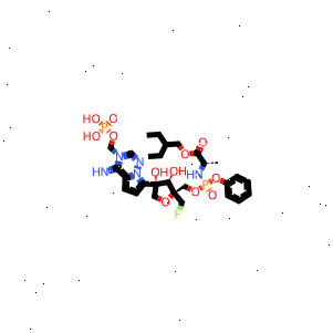 CCC(CC)COC(=O)[C@H](C)N[P@](=O)(OC[C@@]1(CF)OC[C@@](O)(c2ccc3c(=N)n(COP(=O)(O)O)cnn23)[C@@H]1O)Oc1ccccc1